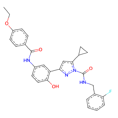 CCOc1ccc(C(=O)Nc2ccc(O)c(-c3cc(C4CC4)n(C(=O)NCc4ccccc4F)n3)c2)cc1